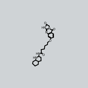 O=C1Cn2c(nc3cc(OCCCCCC(=O)NC4CCC5CCCCC5N4)ccc3c2=O)N1